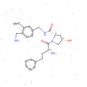 COc1cc(CNC(=O)[C@@H]2C[C@H](O)CN2C(=O)[C@H](N)CCc2ccccc2)ccc1CN